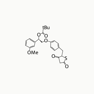 COc1cccc([C@H](COc2ccc(CC3SC(=O)CC3=O)cc2)OC(=O)C(C)(C)C)c1